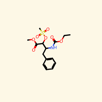 CCOC(=O)NC(Cc1ccccc1)C(OS(C)(=O)=O)C(=O)OC